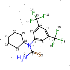 NC(=S)N(c1cc(C(F)(F)F)cc(C(F)(F)F)c1)C1CCCCC1